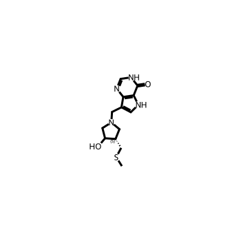 CSC[C@H]1CN(Cc2c[nH]c3c(=O)[nH]cnc23)CC1O